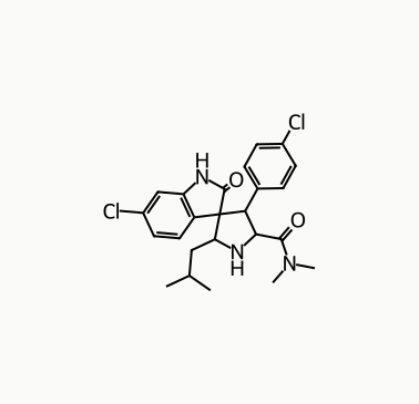 CC(C)CC1NC(C(=O)N(C)C)C(c2ccc(Cl)cc2)C12C(=O)Nc1cc(Cl)ccc12